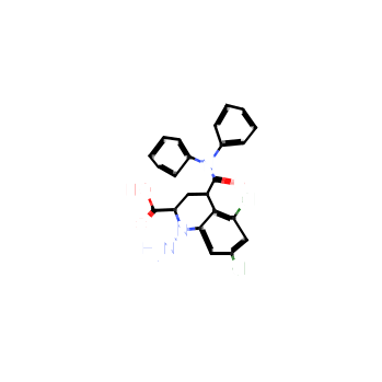 NN1c2cc(Cl)cc(Cl)c2C(C(=O)N(c2ccccc2)c2ccccc2)CC1C(=O)O